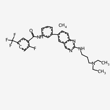 C.CCN(CC)CCCNc1ncc2cc(-c3cccc(NC(=O)c4cc(C(F)(F)F)ccc4F)c3)ccc2n1